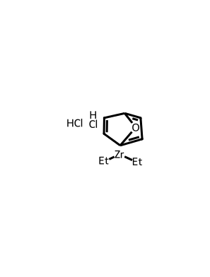 C[CH2][Zr][CH2]C.Cl.Cl.c1cc2ccc1o2